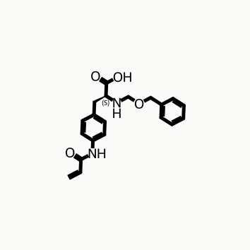 C=CC(=O)Nc1ccc(C[C@H](NCOCc2ccccc2)C(=O)O)cc1